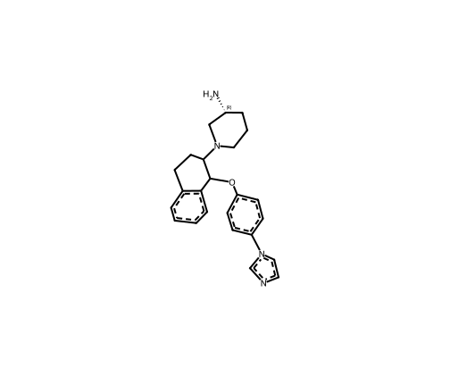 N[C@@H]1CCCN(C2CCc3ccccc3C2Oc2ccc(-n3ccnc3)cc2)C1